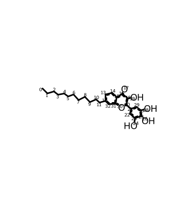 CCCCCCCCCCCCc1ccc2c(=O)c(O)c(-c3cc(O)c(O)c(O)c3)oc2c1